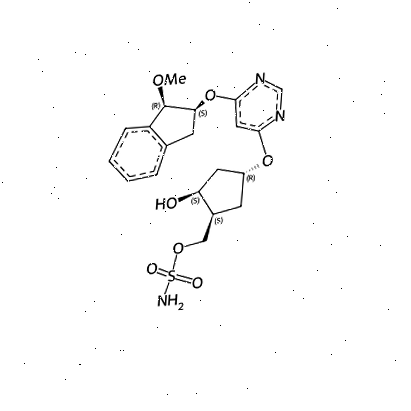 CO[C@@H]1c2ccccc2C[C@@H]1Oc1cc(O[C@@H]2C[C@@H](COS(N)(=O)=O)[C@@H](O)C2)ncn1